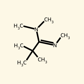 CN=C(N(C)C)C(C)(C)C